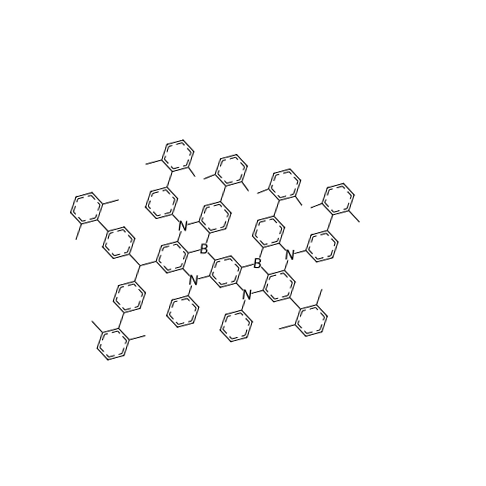 Cc1cccc(C)c1-c1ccc(C(c2ccc(-c3c(C)cccc3C)cc2)c2cc3c4c(c2)N(c2ccccc2)c2cc5c(cc2B4c2ccc(-c4c(C)cccc4C)cc2N3c2cccc(-c3c(C)cccc3C)c2)B2c3ccc(-c4c(C)cccc4C)cc3N(c3cccc(-c4c(C)cccc4C)c3)c3cc(-c4c(C)cccc4C)cc(c32)N5c2ccccc2)cc1